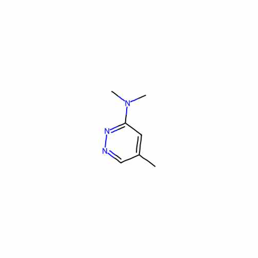 Cc1cnnc(N(C)C)c1